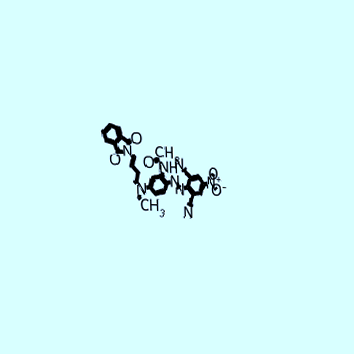 CCN(CCCCN1C(=O)c2ccccc2C1=O)c1ccc(/N=N/c2c(C#N)cc([N+](=O)[O-])cc2C#N)c(NC(C)=O)c1